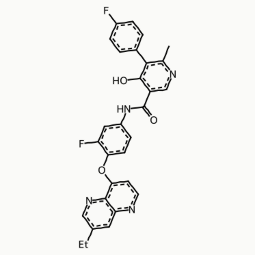 CCc1cnc2c(Oc3ccc(NC(=O)c4cnc(C)c(-c5ccc(F)cc5)c4O)cc3F)ccnc2c1